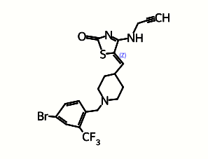 C#CCNC1=NC(=O)S/C1=C\C1CCN(Cc2ccc(Br)cc2C(F)(F)F)CC1